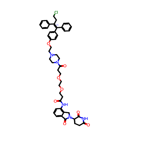 O=C1CCC(N2Cc3c(NC(=O)CCOCCOCCC(=O)N4CCN(CCOc5ccc(/C(=C(/CCCl)c6ccccc6)c6ccccc6)cc5)CC4)cccc3C2=O)C(=O)N1